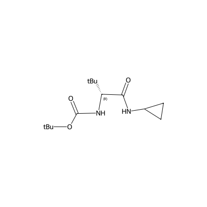 CC(C)(C)OC(=O)N[C@@H](C(=O)NC1CC1)C(C)(C)C